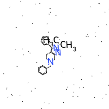 CC(C)n1nc2c(c1-c1ccccc1)CCN(Cc1ccccc1)C2